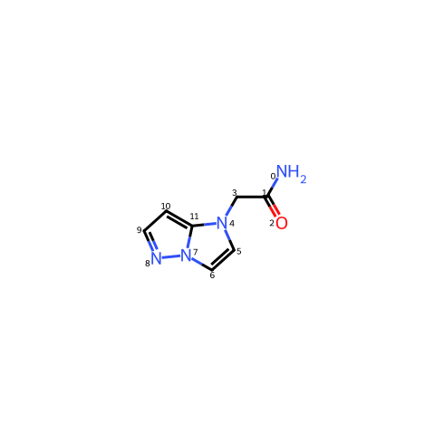 NC(=O)Cn1ccn2nccc12